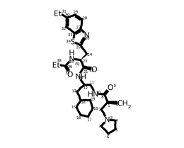 C=C(CN1CCCC1)C(=O)NCC(CC1CCCCC1)NC(=O)[C@H](Cc1nc2ccc(CC)cc2s1)NC(=O)CC